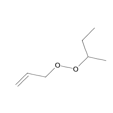 C=CCOOC(C)CC